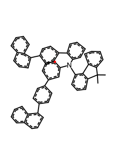 CC1(C)c2ccccc2-c2c(N(c3cccc(-c4ccc(-c5cccc6ccccc56)cc4)c3)c3ccccc3-c3ccc(-c4cccc5ccccc45)cc3)cccc21